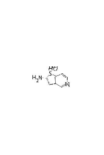 Cl.Nc1cc2cnccc2s1